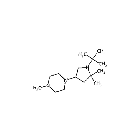 CN1CCN(C2CN(C(C)(C)C)C(C)(C)C2)CC1